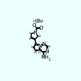 CC(C)(C)OC(=O)N1CC=C(c2ccc3c(N)ncnn23)C1